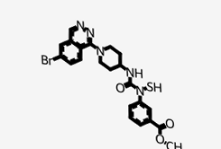 COC(=O)c1cccc(N(S)C(=O)NC2CCN(c3nncc4cc(Br)ccc34)CC2)c1